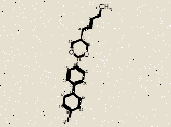 CCC/C=C/[C@H]1CO[C@H](c2ccc(C3CC=C(F)CC3)cc2)OC1